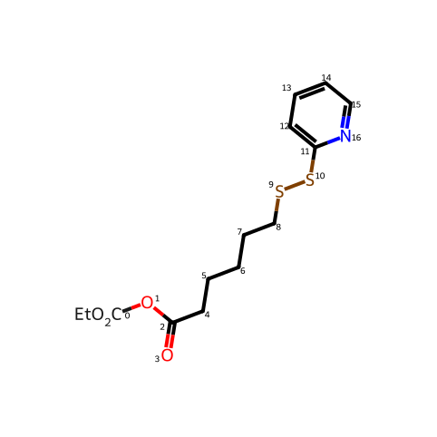 CCOC(=O)OC(=O)CCCCCSSc1ccccn1